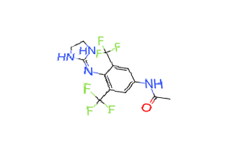 CC(=O)Nc1cc(C(F)(F)F)c(N=C2NCCN2)c(C(F)(F)F)c1